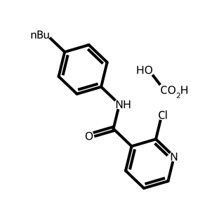 CCCCc1ccc(NC(=O)c2cccnc2Cl)cc1.O=C(O)O